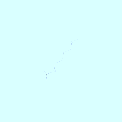 CC(=O)NCCCCNO